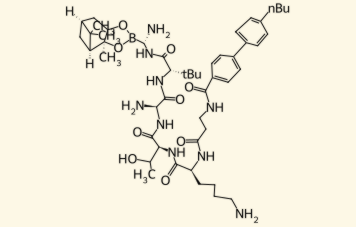 CCCCc1ccc(-c2ccc(C(=O)NCCC(=O)N[C@@H](CCCCN)C(=O)N[C@H](C(=O)N[C@@H](N)C(=O)N[C@H](C(=O)N[C@@H](N)B3OC4C[C@@H]5C[C@@H](C5(C)C)[C@]4(C)O3)C(C)(C)C)C(C)O)cc2)cc1